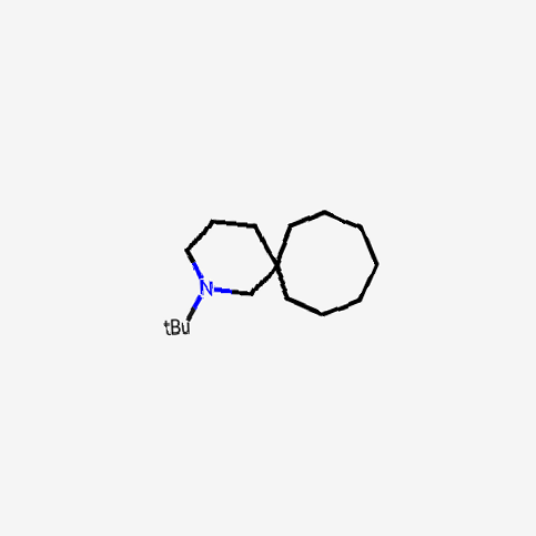 CC(C)(C)N1CCCC2(CCCCCCC2)C1